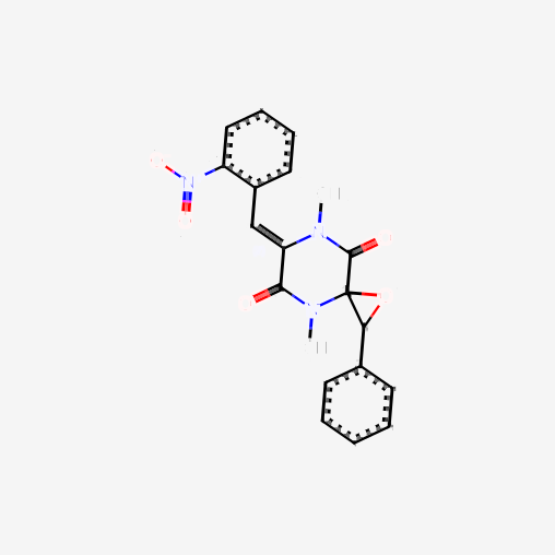 CN1C(=O)C2(OC2c2ccccc2)N(C)C(=O)/C1=C/c1ccccc1[N+](=O)[O-]